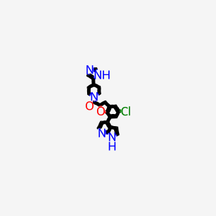 O=C(C1Cc2cc(Cl)cc(-c3ccnc4[nH]ccc34)c2O1)N1CCC(c2cnc[nH]2)CC1